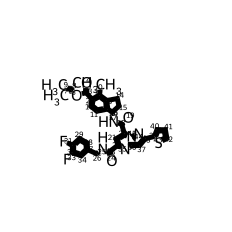 Cc1c(C(=O)OC(C)(C)C)ccc2c1CC[C@@H]2NC(=O)c1cc(C(=O)NCc2ccc(F)c(F)c2)nc2cc(-c3cccs3)nn12